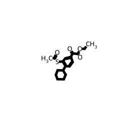 CCOC(=O)C(=O)c1ccc(C2CCCCC2)c(SC(C)=O)c1